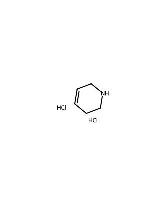 C1=CCNCC1.Cl.Cl